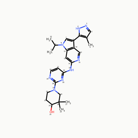 Cc1cn[nH]c1-c1cn(C(C)C)c2cc(Nc3ccnc(N4CCC(O)C(C)(C)C4)n3)ncc12